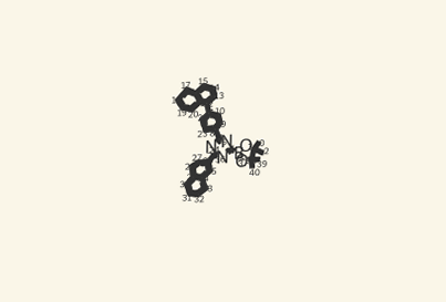 CC1(C)OB(c2nc(-c3ccc(-c4cccc5ccccc45)cc3)nc(-c3ccc4ccccc4c3)n2)OC1(C)C